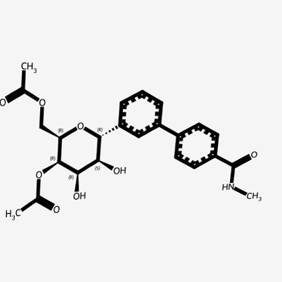 CNC(=O)c1ccc(-c2cccc([C@H]3O[C@H](COC(C)=O)[C@H](OC(C)=O)[C@H](O)[C@@H]3O)c2)cc1